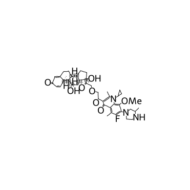 COc1c(N2CCNC(C)C2)c(F)c(C)c2c(=O)c(C(=O)COCC(=O)[C@@]3(O)CC[C@H]4[C@@H]5CCC6=CC(=O)C=C[C@]6(C)[C@H]5[C@@H](O)C[C@@]43C)c(C)n(C3CC3)c12